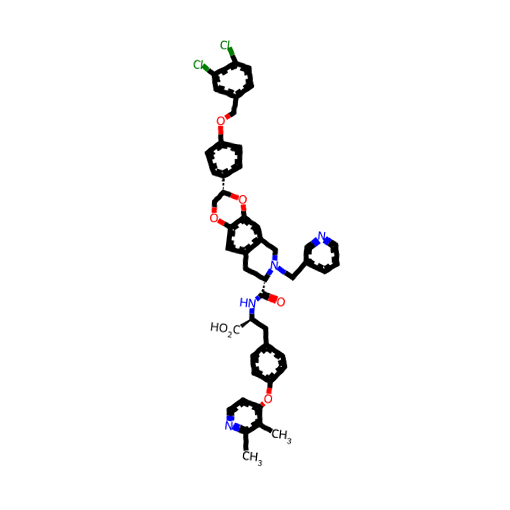 Cc1nccc(Oc2ccc(C[C@H](NC(=O)[C@@H]3Cc4cc5c(cc4CN3Cc3cccnc3)O[C@@H](c3ccc(OCc4ccc(Cl)c(Cl)c4)cc3)CO5)C(=O)O)cc2)c1C